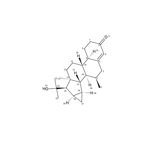 C[C@@H]1CC2=CC(=O)CC[C@@H]2[C@H]2CC[C@@]3(C)[C@@H]([C@H]4C[C@H]4[C@H]3C(C)(C)O)[C@@H]21